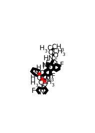 CC(C)(C)OC(=O)Nc1sc2c(F)ccc(-c3c(C(F)(F)F)cc4c(N5C[C@H]6CC[C@@H](C5)N6C(=O)OC(C)(C)C)nc(OC[C@@]56CCCN5C[C@H](F)C6)nc4c3F)c2c1C#N